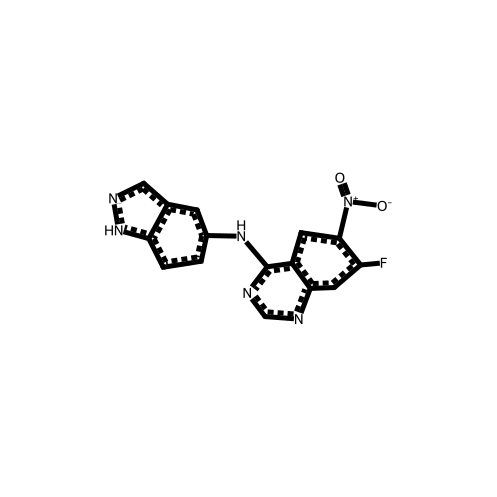 O=[N+]([O-])c1cc2c(Nc3ccc4[nH]ncc4c3)ncnc2cc1F